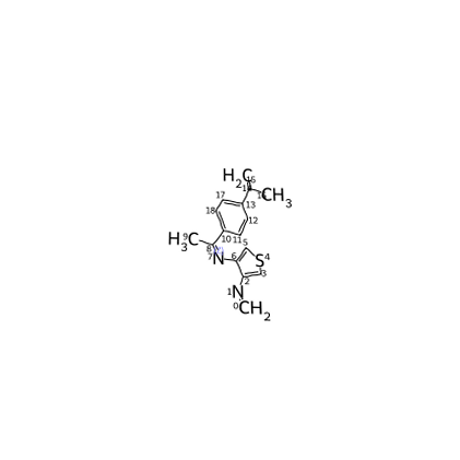 C=Nc1cscc1/N=C(/C)c1ccc(C(=C)C)cc1